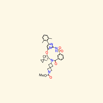 COC(=O)N1CC2(CC(N3C(=O)c4cccc(c4)S(=O)(=O)Nc4nc(cc(-c5c(C)cccc5C)n4)OC[C@H]3CC3(C(F)(F)F)CC3)C2)C1